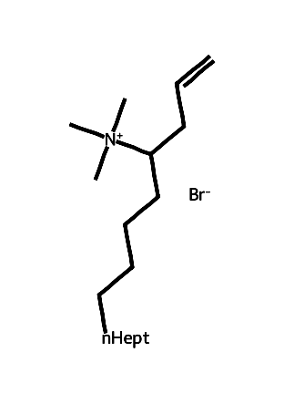 C=CCC(CCCCCCCCCCC)[N+](C)(C)C.[Br-]